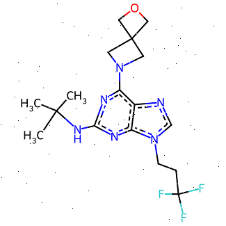 CC(C)(C)Nc1nc(N2CC3(COC3)C2)c2ncn(CCC(F)(F)F)c2n1